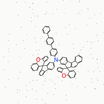 c1ccc(-c2ccc(-c3ccc(N(c4ccc5c(c4)C4(c6ccccc6Oc6ccccc64)c4ccccc4-5)c4ccc5c(c4)C4(c6ccccc6Oc6ccccc64)c4ccc6ccccc6c4-5)cc3)cc2)cc1